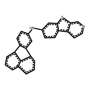 c1cc2c3c(cccc3c1)-c1cc(Nc3ccc4c(c3)sc3cnccc34)ccc1-2